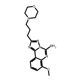 COc1cccc2c1nc(N)n1nc(CCCN3CCOCC3)nc21